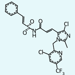 Cc1nc(Cl)c(C=CC(=O)NS(=O)(=O)C=Cc2ccccc2)n1Cc1ncc(C(F)(F)F)cc1Cl